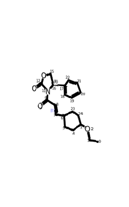 CCOC1CCC(/C=C/C(=O)N2C(=O)OC[C@H]2c2ccccc2)CC1